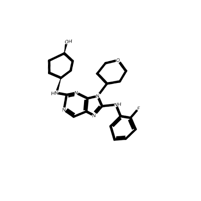 O[C@H]1CC[C@@H](Nc2ncc3nc(Nc4ccccc4F)n(C4CCOCC4)c3n2)CC1